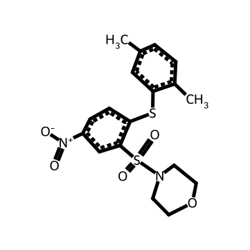 Cc1ccc(C)c(Sc2ccc([N+](=O)[O-])cc2S(=O)(=O)N2CCOCC2)c1